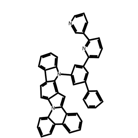 c1ccc(-c2cc(-c3cccc(-c4cccnc4)n3)cc(-n3c4ccccc4c4ccc5c(cc6c7ccccc7c7ccccc7n65)c43)c2)cc1